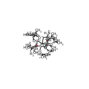 C[SiH](O)O[Si](O[SiH](C)O)(O[SiH](C)O)C(CCN)([Si](O[SiH](C)O)(O[SiH](C)O)O[SiH](C)O)[Si](O[SiH](C)O)(O[SiH](C)O)O[SiH](C)O